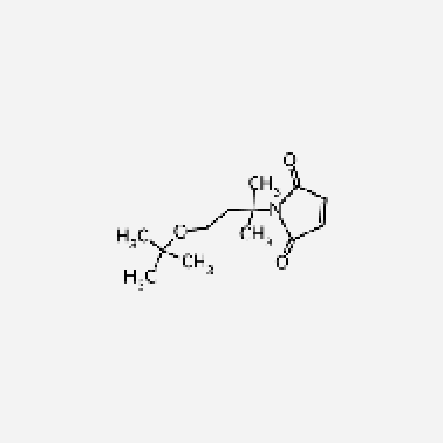 CC(C)(C)OCCC(C)(C)N1C(=O)C=CC1=O